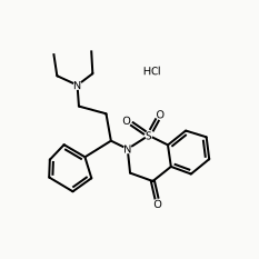 CCN(CC)CCC(c1ccccc1)N1CC(=O)c2ccccc2S1(=O)=O.Cl